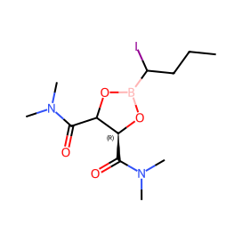 CCCC(I)B1OC(C(=O)N(C)C)[C@H](C(=O)N(C)C)O1